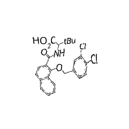 CC(C)(C)C(NC(=O)c1ccc2ccccc2c1OCc1ccc(Cl)c(Cl)c1)C(=O)O